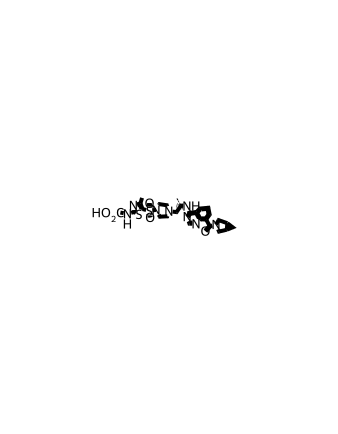 Cc1nc(NC(=O)O)sc1S(=O)(=O)N1CCN(C[C@H](C)Nc2ncnc3c(C(=O)N4CC5CC5C4)cccc23)CC1